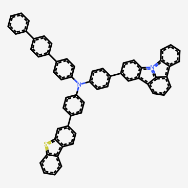 c1ccc(-c2ccc(-c3ccc(N(c4ccc(-c5ccc6c(c5)sc5ccccc56)cc4)c4ccc(-c5ccc6c(c5)c5cccc7c8ccccc8n6c75)cc4)cc3)cc2)cc1